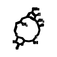 COc1cc2cc(c1Cl)N(C)C(=O)CCCC(O)CC1CC(C/C=C/C=C(\C)C2)NC(=O)O1